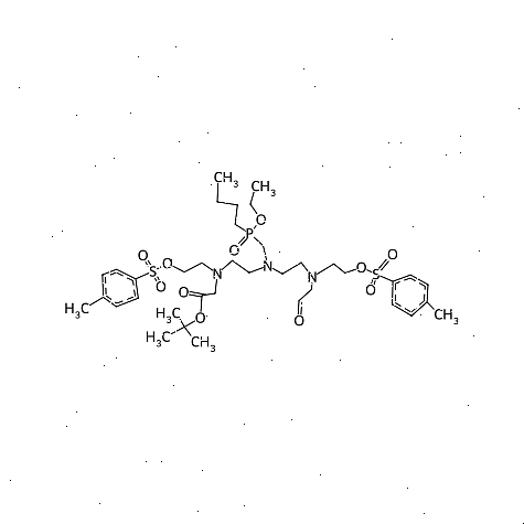 CCCCP(=O)(CN(CCN(CC=O)CCOS(=O)(=O)c1ccc(C)cc1)CCN(CCOS(=O)(=O)c1ccc(C)cc1)CC(=O)OC(C)(C)C)OCC